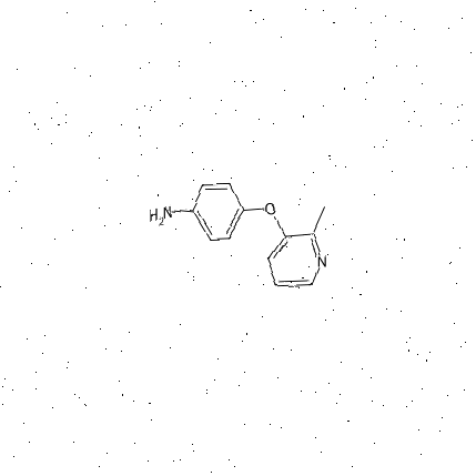 Cc1ncccc1Oc1ccc(N)cc1